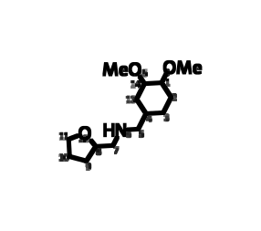 COC1CCC(CNCC2CCCO2)CC1OC